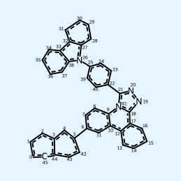 c1ccc2cc(-c3ccc4c(c3)c3ccccc3c3nnc(-c5ccc(-n6c7ccccc7c7ccccc76)cc5)n43)ccc2c1